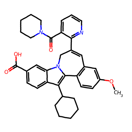 COc1ccc2c(c1)C=C(c1ncccc1C(=O)N1CCCCC1)Cn1c-2c(C2CCCCC2)c2ccc(C(=O)O)cc21